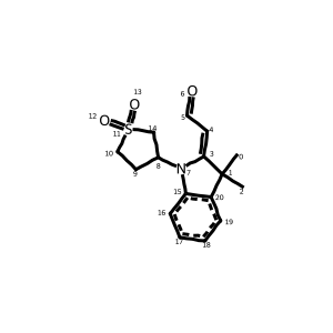 CC1(C)C(=CC=O)N(C2CCS(=O)(=O)C2)c2ccccc21